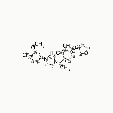 COc1cc(N2CCN(C(C)c3ccc(O[C@H]4CCOC4)c(C)c3C)CC2)ccc1Cl